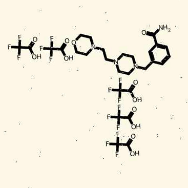 NC(=O)c1cccc(CN2CCN(CCN3CCOCC3)CC2)c1.O=C(O)C(F)(F)F.O=C(O)C(F)(F)F.O=C(O)C(F)(F)F.O=C(O)C(F)(F)F.O=C(O)C(F)(F)F